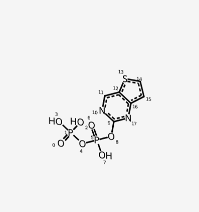 O=P(O)(O)OP(=O)(O)Oc1ncc2sccc2n1